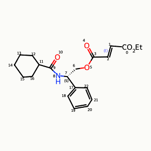 CCOC(=O)/C=C/C(=O)OC[C@@H](NC(=O)C1CCCCC1)c1ccccc1